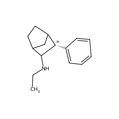 CCNC1C2CCC(C2)[C@@H]1c1ccccc1